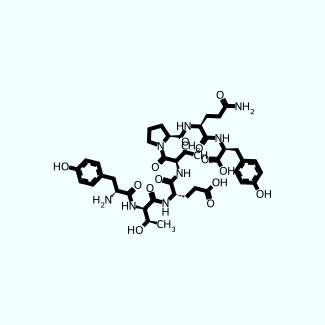 CC(C)[C@@H](NC(=O)[C@H](CCC(=O)O)NC(=O)[C@H](NC(=O)[C@H](N)Cc1ccc(O)cc1)[C@@H](C)O)C(=O)N1CCC[C@H]1C(=O)N[C@@H](CCC(N)=O)C(=O)N[C@@H](Cc1ccc(O)cc1)C(=O)O